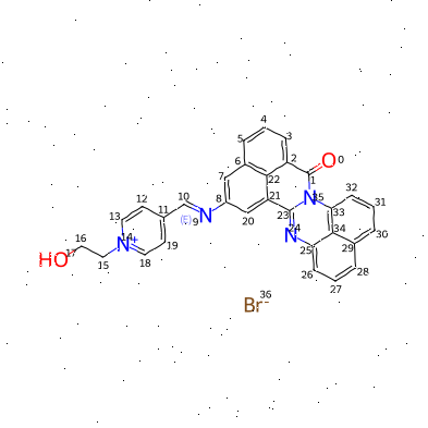 O=c1c2cccc3cc(/N=C/c4cc[n+](CCO)cc4)cc(c32)c2nc3cccc4cccc(c43)n12.[Br-]